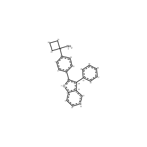 NC1(c2ccc(-c3oc4ccncc4c3-c3ccccc3)cc2)CCC1